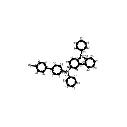 Ic1ccc(-c2ccc(N(c3ccccc3)c3ccc4c(c3)c3ccccc3n4-c3ccccc3)cc2)cc1